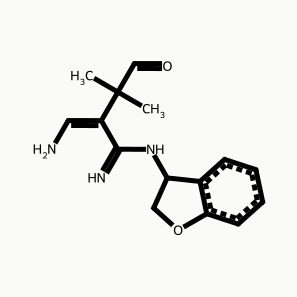 CC(C)(C=O)/C(=C/N)C(=N)NC1COc2ccccc21